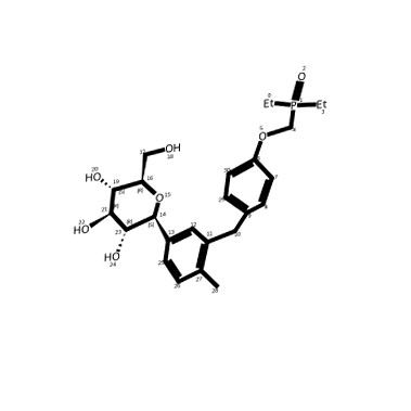 CCP(=O)(CC)COc1ccc(Cc2cc([C@@H]3O[C@H](CO)[C@@H](O)[C@H](O)[C@H]3O)ccc2C)cc1